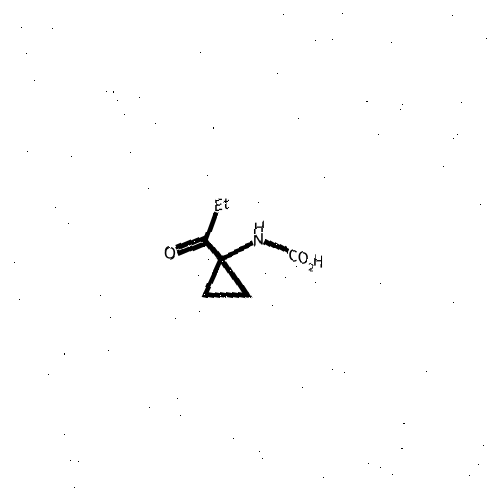 CCC(=O)C1(NC(=O)O)CC1